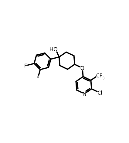 OC1(c2ccc(F)c(F)c2)CCC(Oc2ccnc(Cl)c2C(F)(F)F)CC1